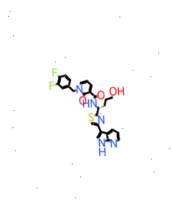 O=C(N[C@H](CCCO)c1nc(-c2c[nH]c3ncccc23)cs1)c1cccn(Cc2ccc(F)c(F)c2)c1=O